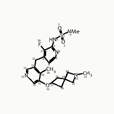 CNS(=O)(=O)Nc1nccc(Cc2cncc(OC3CC4(C3)CN(C)C4)c2C)c1F